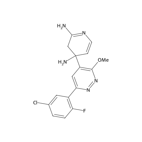 COc1nnc(-c2cc(Cl)ccc2F)cc1C1(N)C=CN=C(N)C1